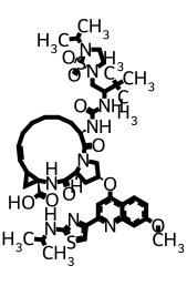 COc1ccc2c(O[C@@H]3C[C@H]4C(=O)N[C@]5(C(=O)O)CC5/C=C\CCCCC[C@H](NC(=O)NC(CN5CCN(C(C)C)S5(=O)=O)C(C)(C)C)C(=O)N4C3)cc(-c3csc(NC(C)C)n3)nc2c1